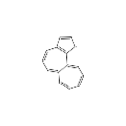 [CH]1C=CC2=C1C1=CC=CC=CC1=CC=C2